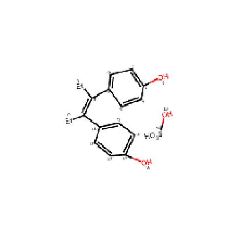 CCC(=C(CC)c1ccc(O)cc1)c1ccc(O)cc1.O=S(=O)(O)O